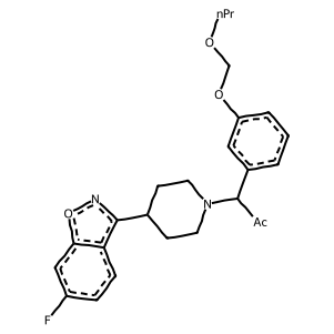 CCCOCOc1cccc(C(C(C)=O)N2CCC(c3noc4cc(F)ccc34)CC2)c1